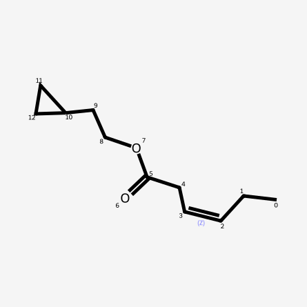 CC/C=C\CC(=O)OCCC1CC1